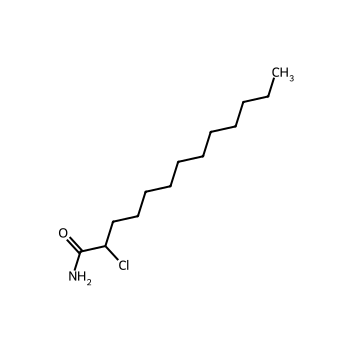 CCCCCCCCCCCC(Cl)C(N)=O